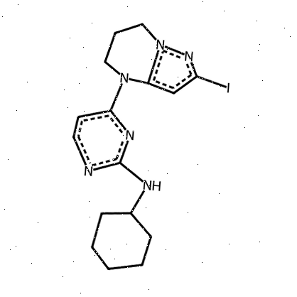 Ic1cc2n(n1)CCCN2c1ccnc(NC2CCCCC2)n1